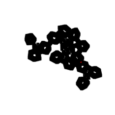 c1ccc(-c2cccc(-c3ccccc3)c2-c2nc(-n3c4ccccc4c4ccc(-c5ccc6c7ccccc7n(-c7ccccc7)c6c5)cc43)nc(-n3c4ccccc4c4ccc(-c5ccc6c7ccccc7n(-c7ccccc7)c6c5)cc43)n2)cc1